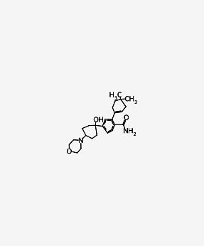 CC1(C)CC=C(c2cc(C3(O)CCC(N4CCOCC4)CC3)ccc2C(N)=O)CC1